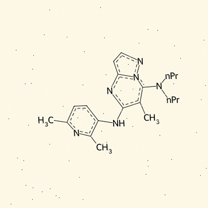 CCCN(CCC)c1c(C)c(Nc2ccc(C)nc2C)nc2ccnn12